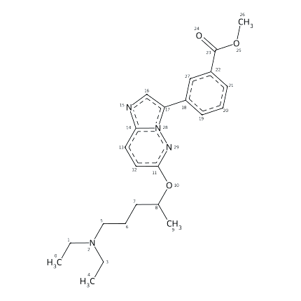 CCN(CC)CCCC(C)Oc1ccc2ncc(-c3cccc(C(=O)OC)c3)n2n1